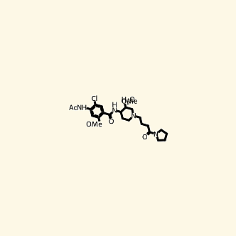 COc1cc(NC(C)=O)c(Cl)cc1C(=O)NC1CCN(CCCC(=O)N2CCCC2)CC1OC.O